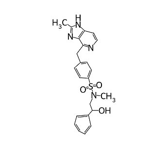 Cc1nc2c(Cc3ccc(S(=O)(=O)N(C)CC(O)c4ccccc4)cc3)nccc2[nH]1